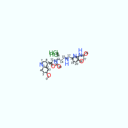 COc1ccc2nccc([C@@H]3CN(CCCNCc4ccc5c(n4)NC(=O)CO5)C(=O)O3)c2c1.Cl.Cl